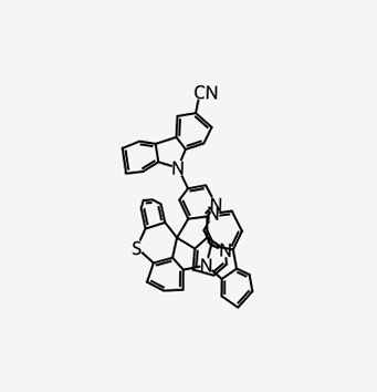 N#Cc1ccc2c(c1)c1ccccc1n2-c1cnc2c(c1)C1(c3ccccc3Sc3cccc(-n4c5ccccc5c5ccncc54)c31)c1cccnc1-2